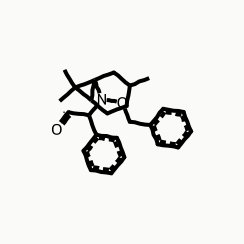 CC1CCC2C(C)(C)C2(N(OCc2ccccc2)C([C]=O)c2ccccc2)C1